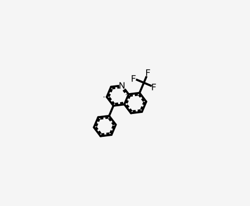 FC(F)(F)c1cccc2c(-c3ccccc3)[c]cnc12